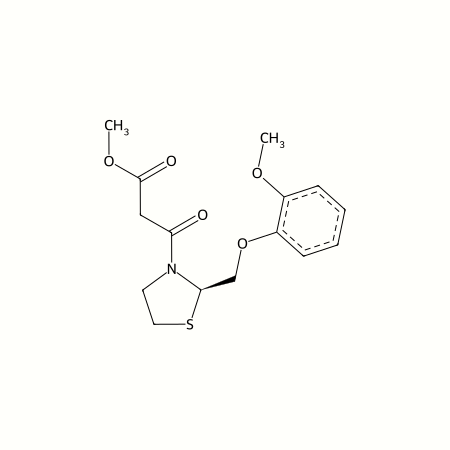 COC(=O)CC(=O)N1CCS[C@@H]1COc1ccccc1OC